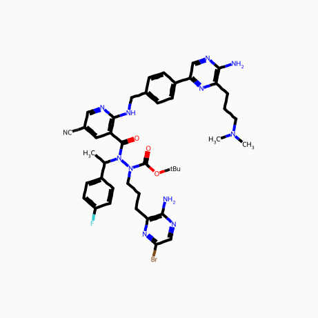 CC(c1ccc(F)cc1)N(C(=O)c1cc(C#N)cnc1NCc1ccc(-c2cnc(N)c(CCCN(C)C)n2)cc1)N(CCCc1nc(Br)cnc1N)C(=O)OC(C)(C)C